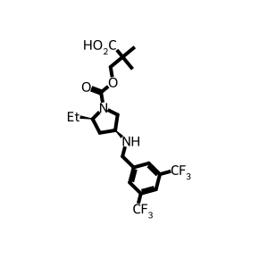 CC[C@@H]1C[C@H](NCc2cc(C(F)(F)F)cc(C(F)(F)F)c2)CN1C(=O)OCC(C)(C)C(=O)O